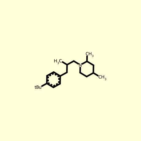 CC1CCN(CC(C)Cc2ccc(C(C)(C)C)cc2)C(C)C1